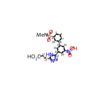 CNS(=O)(=O)c1cccc(-c2cc(-c3nnc(SCC(=O)O)[nH]3)cc([N+](=O)O)c2)c1